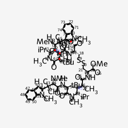 CN[C@H](C(=O)N[C@H](C(=O)N(C)[C@H](/C=C(\C)C(=O)N[C@@H](CSSC[C@H](NC(=O)/C(C)=C/[C@H](C(C)C)N(C)C(=O)[C@@H](NC(=O)[C@@H](NC)C(C)(C)c1cc2ccccc2n1C)C(C)(C)C)C(=O)OC)C(=O)OC)C(C)C)C(C)(C)C)C(C)(C)c1cn(C)c2ccccc12